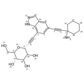 NC1(C#Cc2cc(C#C[C@H]3OC(CO)[C@@H](O)C(O)C3O)c3[nH]ncc3c2)CCCCC1